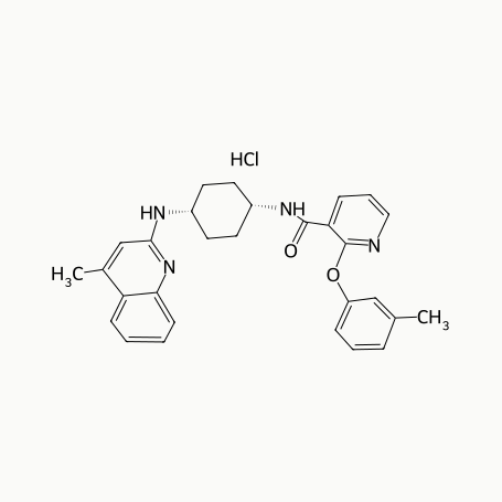 Cc1cccc(Oc2ncccc2C(=O)N[C@H]2CC[C@@H](Nc3cc(C)c4ccccc4n3)CC2)c1.Cl